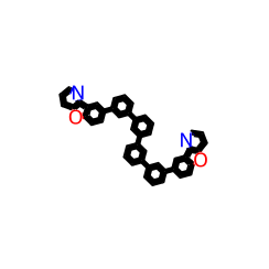 c1cc(-c2cccc(-c3cccc(-c4ccc5oc6cccnc6c5c4)c3)c2)cc(-c2cccc(-c3ccc4oc5cccnc5c4c3)c2)c1